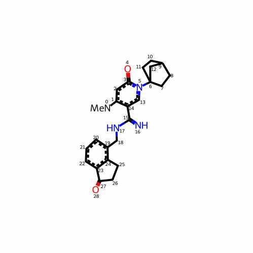 CNc1cc(=O)n(C23CCC(CC2)C3)cc1C(=N)NCc1cccc2c1CCC2=O